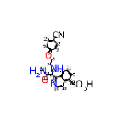 N#Cc1ccc(OCCNC(C(N)=O)c2nccc3c(S(=O)(=O)O)cccc23)cc1